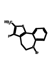 O=C(O)c1sc2c(c1F)CCN(Br)c1ccccc1-2